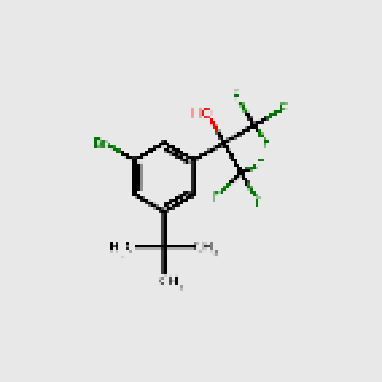 CC(C)(C)c1cc(Br)cc(C(O)(C(F)(F)F)C(F)(F)F)c1